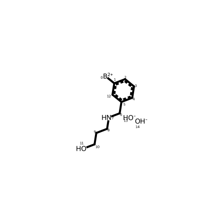 [B+2]c1cccc(CNCCCO)c1.[OH-].[OH-]